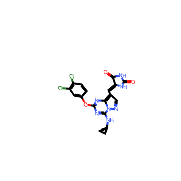 O=C1NC(=O)/C(=C/c2cnn3c(NC4CC4)nc(Oc4ccc(Cl)c(Cl)c4)nc23)N1